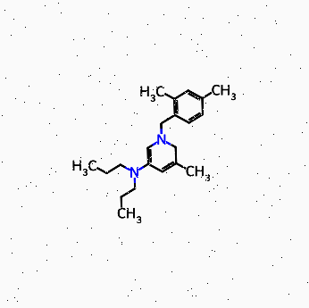 CCCN(CCC)C1=CN(Cc2ccc(C)cc2C)CC(C)=C1